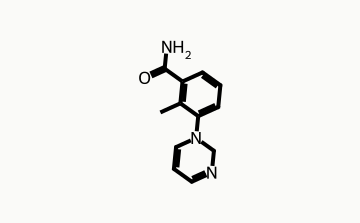 Cc1c(C(N)=O)cccc1N1C=CC=NC1